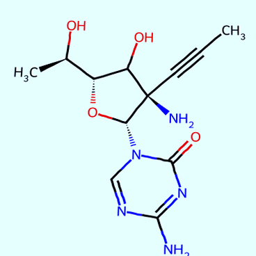 CC#C[C@@]1(N)C(O)[C@@H]([C@@H](C)O)O[C@H]1n1cnc(N)nc1=O